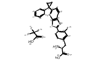 N[C@@H](Cc1ccc(-c2nc3ccc(C4(c5ccccc5)CC4)nc3s2)c(F)c1)C(=O)O.O=C(O)C(F)(F)F